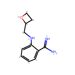 N=C(N)c1ccccc1NCC1CCO1